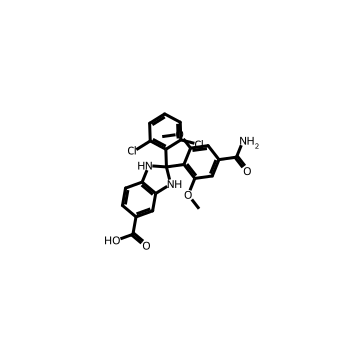 COc1cc(C(N)=O)cc(OC)c1C1(c2c(Cl)cccc2Cl)Nc2ccc(C(=O)O)cc2N1